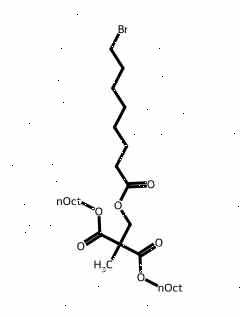 CCCCCCCCOC(=O)C(C)(COC(=O)CCCCCCCBr)C(=O)OCCCCCCCC